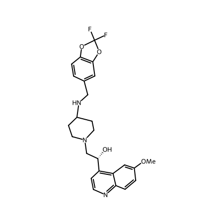 COc1ccc2nccc([C@@H](O)CN3CCC(NCc4ccc5c(c4)OC(F)(F)O5)CC3)c2c1